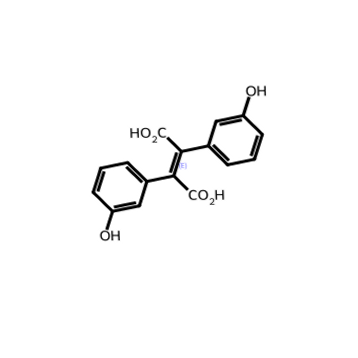 O=C(O)/C(=C(/C(=O)O)c1cccc(O)c1)c1cccc(O)c1